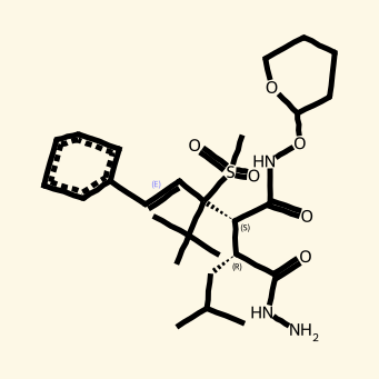 CC(C)C[C@@H](C(=O)NN)[C@@H](C(=O)NOC1CCCCO1)C(/C=C/c1ccccc1)(C(C)(C)C)S(C)(=O)=O